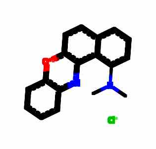 CN(C)c1cccc2ccc3[o+]c4ccccc4nc3c12.[Cl-]